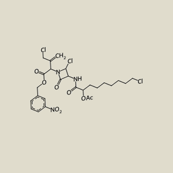 C=C(CCl)C(C(=O)OCc1cccc([N+](=O)[O-])c1)N1C(=O)C(NC(=O)C(CCCCCCCCl)OC(C)=O)C1Cl